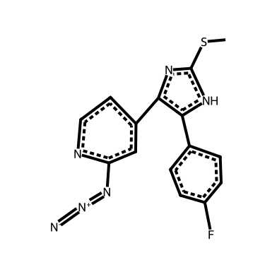 CSc1nc(-c2ccnc(N=[N+]=[N-])c2)c(-c2ccc(F)cc2)[nH]1